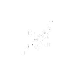 Cn1c(=O)c(C(=O)NCC(=O)O)c(O)c2ccc(N3CCOCC3)nc21